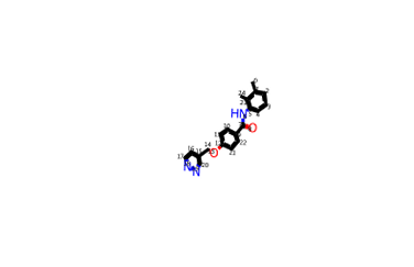 Cc1cccc(NC(=O)c2ccc(OCc3ccnnc3)cc2)c1C